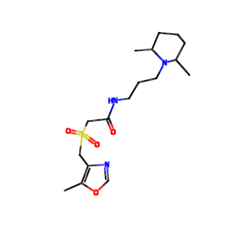 Cc1ocnc1CS(=O)(=O)CC(=O)NCCCN1C(C)CCCC1C